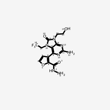 NNC(=O)c1occc1-c1nc(N)nc2c1n(CC(F)(F)F)c(=O)n2CCO